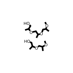 COC(C)COC(C)CO.COC(C)COC(C)COC(C)CO